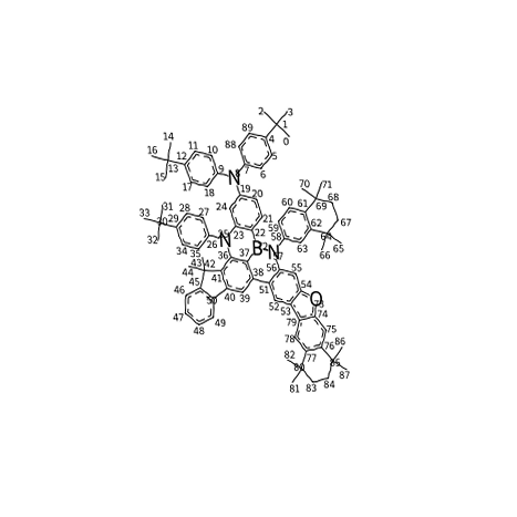 CC(C)(C)c1ccc(N(c2ccc(C(C)(C)C)cc2)c2ccc3c(c2)N(c2ccc(C(C)(C)C)cc2)c2c4c(cc5c2C(C)(C)c2ccccc2-5)-c2cc5c(cc2N(c2ccc6c(c2)C(C)(C)CCC6(C)C)B34)oc2cc3c(cc25)C(C)(C)CCC3(C)C)cc1